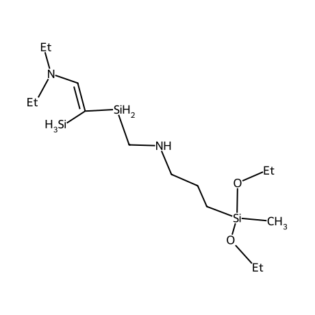 CCO[Si](C)(CCCNC[SiH2]C([SiH3])=CN(CC)CC)OCC